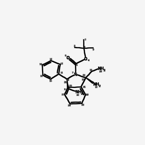 CC(C)(C)OC(=O)N([C@@H](CN)c1ccccc1)[C@](N)(CN)c1ccccc1